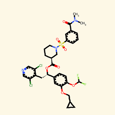 CN(C)C(=O)c1cccc(S(=O)(=O)N2CCC[C@H](C(=O)O[C@@H](Cc3c(Cl)cncc3Cl)c3ccc(OC(F)F)c(OCC4CC4)c3)C2)c1